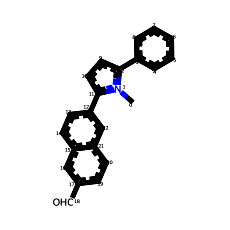 Cn1c(-c2ccccc2)ccc1-c1ccc2cc(C=O)ccc2c1